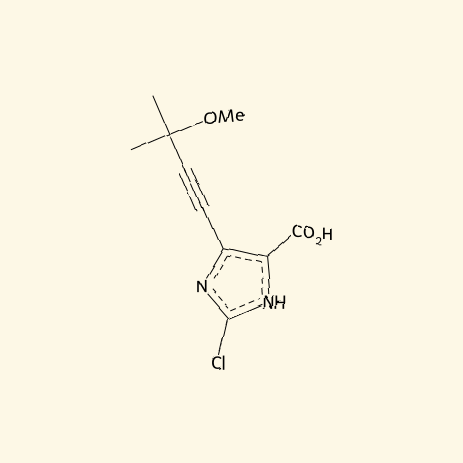 COC(C)(C)C#Cc1nc(Cl)[nH]c1C(=O)O